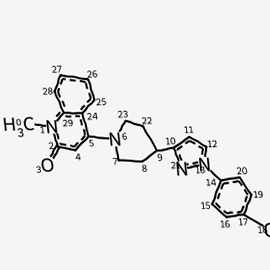 Cn1c(=O)cc(N2CCC(c3ccn(-c4ccc(Cl)cc4)n3)CC2)c2ccccc21